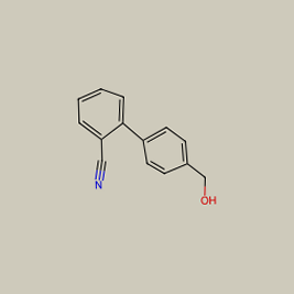 N#Cc1ccccc1-c1ccc(CO)cc1